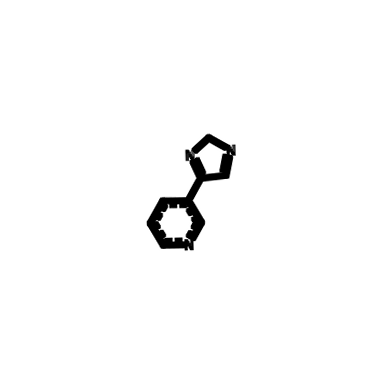 C1=NCN=C1c1cccnc1